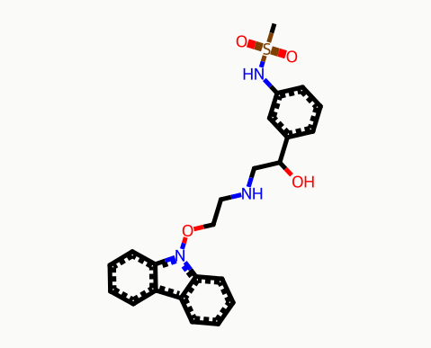 CS(=O)(=O)Nc1cccc(C(O)CNCCOn2c3ccccc3c3ccccc32)c1